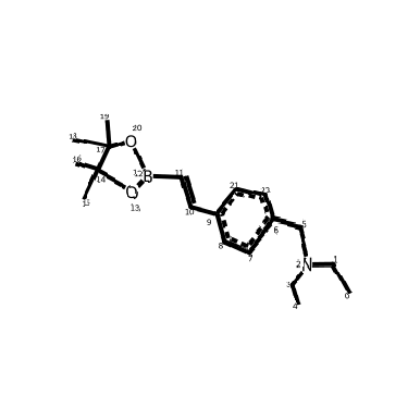 CCN(CC)Cc1ccc(/C=C/B2OC(C)(C)C(C)(C)O2)cc1